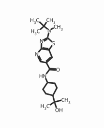 CN(c1nc2ncc(C(=O)NC3CCC(C(C)(C)O)CC3)cc2s1)C(C)(C)C